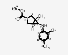 CC(C)(C)OC(=O)N1C[C@H]2[C@H](Nc3ncc(C(F)(F)F)cc3Cl)[C@@]2(C)C1